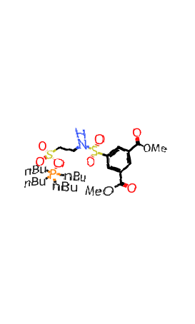 CCCCP(CCCC)(CCCC)(CCCC)OS(=O)(=O)CCNS(=O)(=O)c1cc(C(=O)OC)cc(C(=O)OC)c1